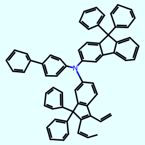 C=CC1=C(/C=C\C)C(c2ccccc2)(c2ccccc2)c2cc(N(c3ccc(-c4ccccc4)cc3)c3ccc4c(c3)-c3ccccc3C4(c3ccccc3)c3ccccc3)ccc21